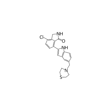 O=C1NCc2c(Cl)ccc(-c3cc4cc(CN5CCSCC5)ccc4[nH]3)c21